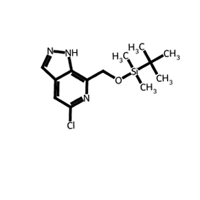 CC(C)(C)[Si](C)(C)OCc1nc(Cl)cc2cn[nH]c12